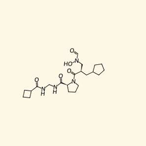 O=CN(O)C[C@@H](CC1CCCC1)C(=O)N1CCC[C@H]1C(=O)NCNC(=O)C1CCC1